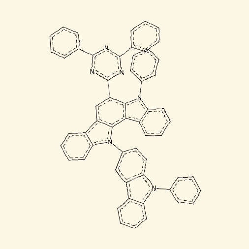 c1ccc(-c2nc(-c3ccccc3)nc(-c3cc4c5ccccc5n(-c5ccc6c(c5)c5ccccc5n6-c5ccccc5)c4c4c5ccccc5n(-c5ccccc5)c34)n2)cc1